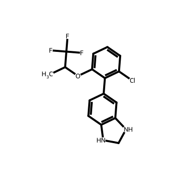 CC(Oc1cccc(Cl)c1-c1ccc2c(c1)NCN2)C(F)(F)F